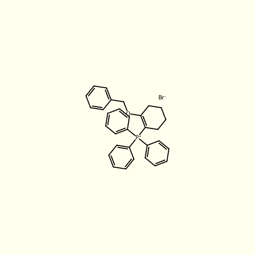 [Br-].c1ccc(COC2=C([P+](c3ccccc3)(c3ccccc3)c3ccccc3)CCCC2)cc1